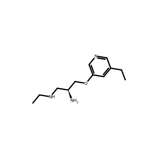 CCNC[C@H](N)COc1cncc(CC)c1